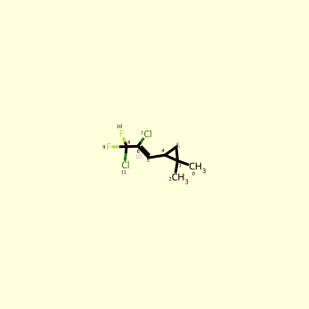 CC1(C)[CH]C1/C=C(\Cl)C(F)(F)Cl